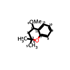 COC1CC(C)(C)Oc2ccccc21